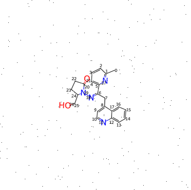 Cc1cccc(C(Cc2ccnc3ccccc23)=NN2C(=O)CCC2CO)n1